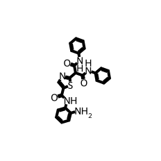 Nc1ccccc1NC(=O)c1cnc(C(C(=O)Nc2ccccc2)C(=O)Nc2ccccc2)s1